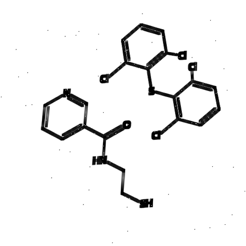 Clc1cccc(Cl)c1Sc1c(Cl)cccc1Cl.O=C(NCCS)c1cccnc1